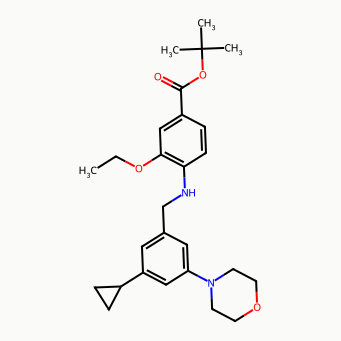 CCOc1cc(C(=O)OC(C)(C)C)ccc1NCc1cc(C2CC2)cc(N2CCOCC2)c1